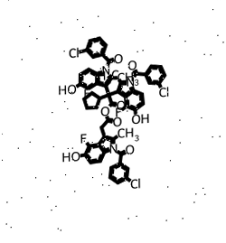 Cc1c(CC(=O)OC(=O)C(c2c(C)n(C(=O)c3cccc(Cl)c3)c3ccc(O)c(F)c23)(c2c(C)n(C(=O)c3cccc(Cl)c3)c3ccc(O)c(F)c23)C2CCCC2)c2c(F)c(O)ccc2n1C(=O)c1cccc(Cl)c1